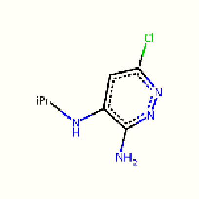 CC(C)Nc1cc(Cl)nnc1N